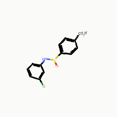 O=C(O)c1ccc([S+]([O-])Nc2cccc(Cl)c2)cc1